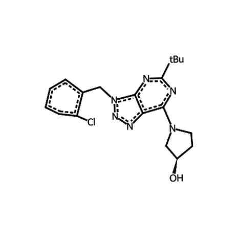 CC(C)(C)c1nc(N2CC[C@@H](O)C2)c2nnn(Cc3ccccc3Cl)c2n1